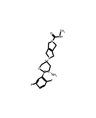 CNC(=O)N1CC2=C(C1)CN([C@H]1CO[C@H](c3cc(F)ccc3F)[C@@H](N)C1)C2